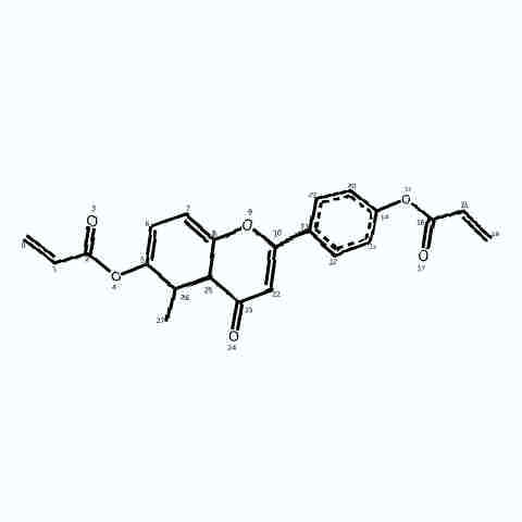 C=CC(=O)OC1=CC=C2OC(c3ccc(OC(=O)C=C)cc3)=CC(=O)C2C1C